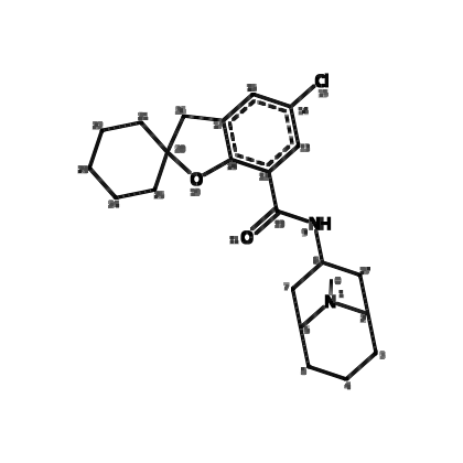 CN1C2CCCC1CC(NC(=O)c1cc(Cl)cc3c1OC1(CCCCC1)C3)C2